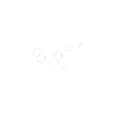 C=C(F)CN1CC(c2ccc(N(C)c3cc4c(cn3)ncn4C)c(OC(F)F)c2)C1